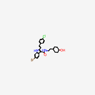 O=C(NCCC1CCC(O)CC1)c1c(/C=C/c2ccc(Cl)cc2)[nH]c2cc(Br)ccc12